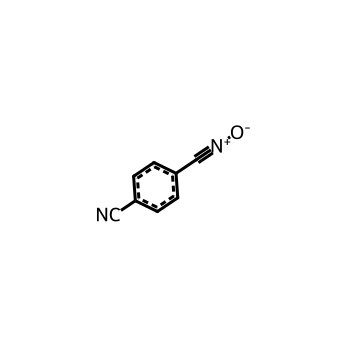 N#Cc1ccc(C#[N+][O-])cc1